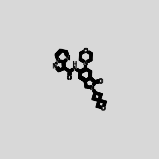 O=C(Nc1cc2c(cc1N1CCOCC1)C(=O)N(C1CC3(COC3)C1)C2)c1cnn2cccnc12